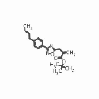 C=C(Cc1nc(-c2ccc(CCCC)cc2)no1)C(=O)OC(C)(C)C